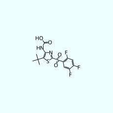 CC(C)(C)c1sc(S(=O)(=O)c2cc(F)c(F)cc2F)nc1NC(=O)O